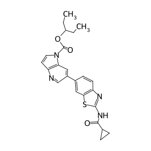 CCC(CC)OC(=O)n1ccc2ncc(-c3ccc4nc(NC(=O)C5CC5)sc4c3)cc21